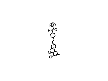 Cc1cc(Cl)c(Cl)c(N2CCN(CCC3CCC(NC(=O)c4ncco4)CC3)CC2C)c1